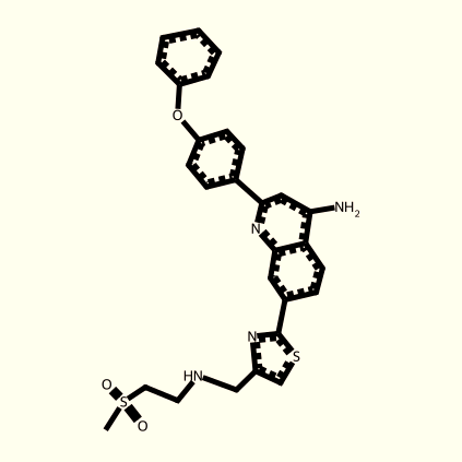 CS(=O)(=O)CCNCc1csc(-c2ccc3c(N)cc(-c4ccc(Oc5ccccc5)cc4)nc3c2)n1